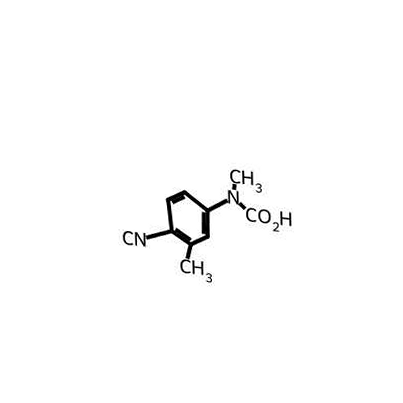 [C-]#[N+]c1ccc(N(C)C(=O)O)cc1C